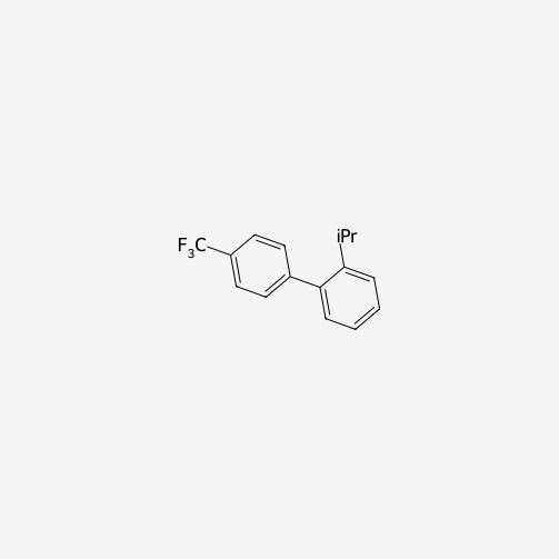 CC(C)c1ccccc1-c1ccc(C(F)(F)F)cc1